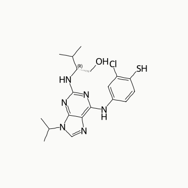 CC(C)[C@H](CO)Nc1nc(Nc2ccc(S)c(Cl)c2)c2ncn(C(C)C)c2n1